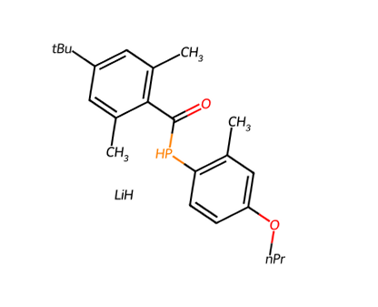 CCCOc1ccc(PC(=O)c2c(C)cc(C(C)(C)C)cc2C)c(C)c1.[LiH]